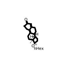 CCCCCCO[C@H]1CC[C@H]2[C@@H]3CCC4=CC(=O)CCC4=C3CC[C@]12C